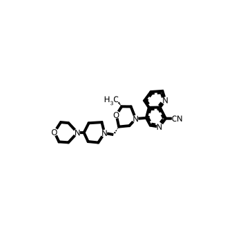 C[C@@H]1CN(c2cnc(C#N)c3ncccc23)C[C@H](CN2CCC(N3CCOCC3)CC2)O1